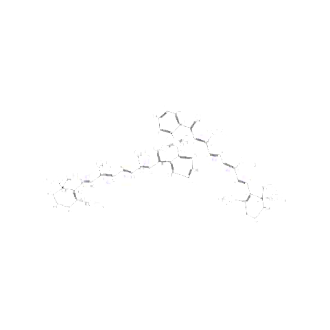 CC1=C(/C=C/C(C)=C/C=C/C(C)=C/C(=O)c2ccccc2S(=O)(=O)c2ccccc2C(=O)/C=C(C)/C=C/C=C(C)/C=C/C2=C(C)CCCC2(C)C)C(C)(C)CCC1